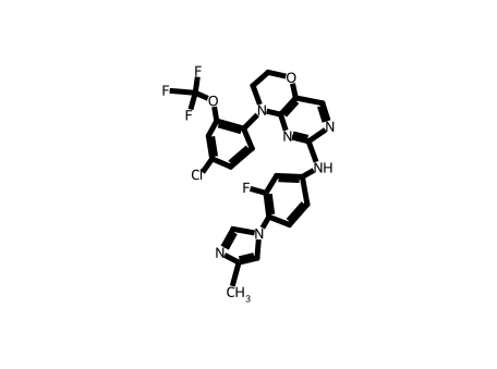 Cc1cn(-c2ccc(Nc3ncc4c(n3)N(c3ccc(Cl)cc3OC(F)(F)F)CCO4)cc2F)cn1